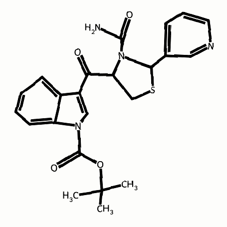 CC(C)(C)OC(=O)n1cc(C(=O)C2CSC(c3cccnc3)N2C(N)=O)c2ccccc21